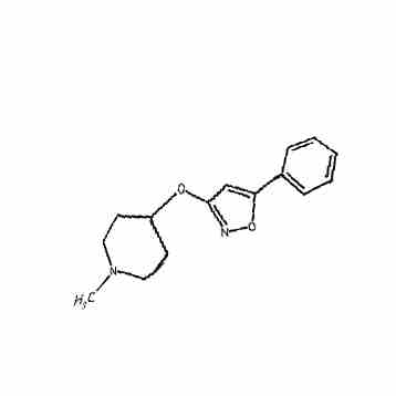 CN1CCC(Oc2cc(-c3ccccc3)on2)CC1